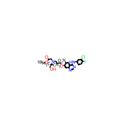 CC(C)(C)OC(=O)CN(CCCOc1cc2ncnc(Nc3ccc(F)c(Cl)c3)c2cc1[N+](=O)[O-])C(C)(C)CO